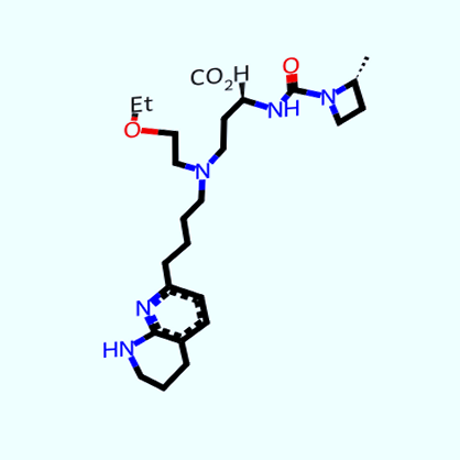 CCOCCN(CCCCc1ccc2c(n1)NCCC2)CC[C@H](NC(=O)N1CC[C@H]1C)C(=O)O